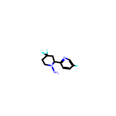 NN1CCC(F)(F)CC1c1ccc(F)cn1